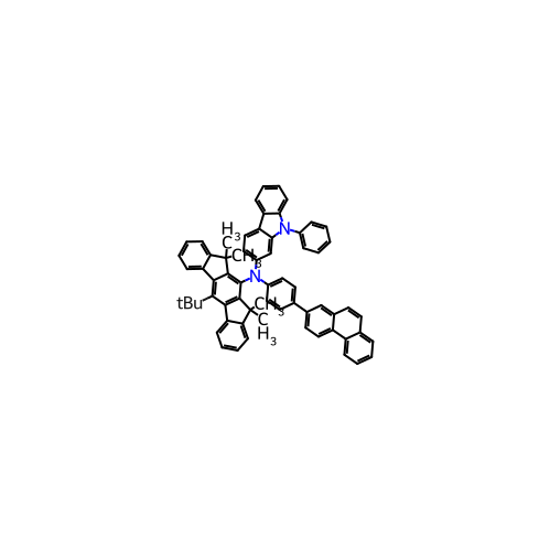 CC(C)(C)c1c2c(c(N(c3ccc(-c4ccc5c(ccc6ccccc65)c4)cc3)c3ccc4c5ccccc5n(-c5ccccc5)c4c3)c3c1-c1ccccc1C3(C)C)C(C)(C)c1ccccc1-2